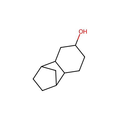 OC1CCC2C3CCC(C3)C2C1